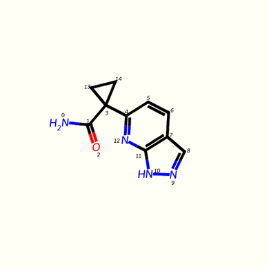 NC(=O)C1(c2ccc3cn[nH]c3n2)CC1